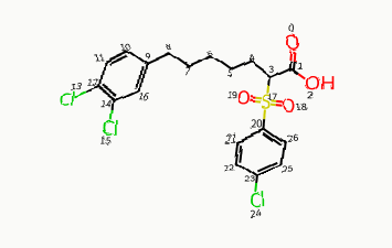 O=C(O)C(CCCCCc1ccc(Cl)c(Cl)c1)S(=O)(=O)c1ccc(Cl)cc1